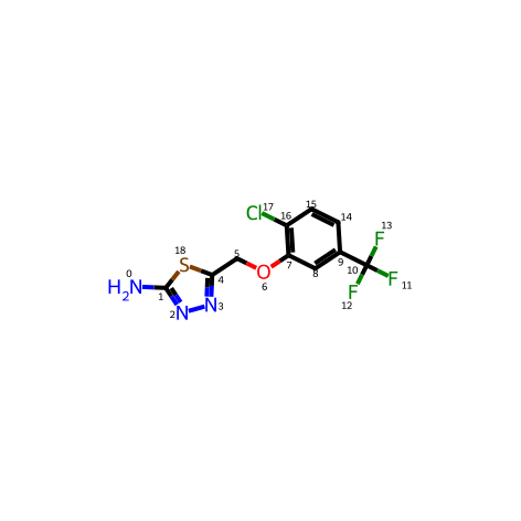 Nc1nnc(COc2cc(C(F)(F)F)ccc2Cl)s1